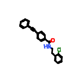 O=C(NCCc1ccccc1Cl)c1ccc(C#Cc2ccccc2)cc1